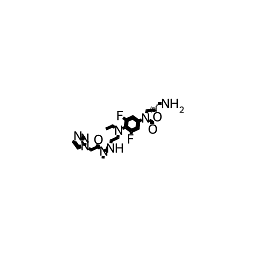 CCN(CCNN(C)C(=O)Cn1ccnn1)c1c(F)cc(N2C[C@H](CN)OC2=O)cc1F